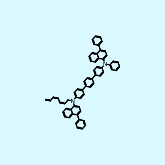 C=C/C=C\C=C/CN(c1ccc(-c2ccc(-c3ccc(N(c4ccccc4)c4ccc(-c5ccccc5)c5ccccc45)cc3)cc2)cc1)c1ccc(-c2ccccc2)c2ccccc12